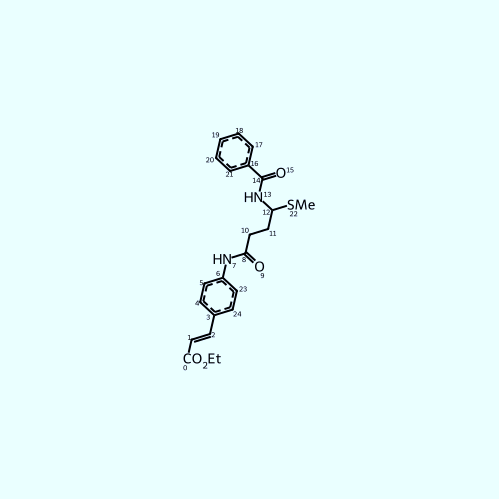 CCOC(=O)C=Cc1ccc(NC(=O)CCC(NC(=O)c2ccccc2)SC)cc1